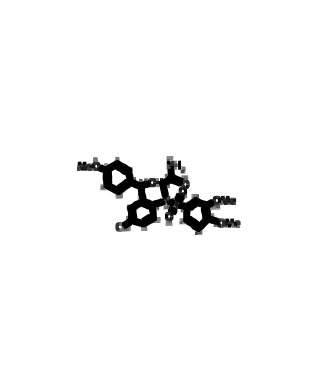 COc1ccc(C(O)c2cc(Cl)ccc2N(CC(N)=O)S(=O)(=O)c2ccc(OC)c(OC)c2)cc1